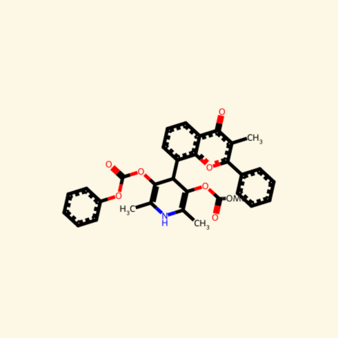 COC(=O)OC1=C(C)NC(C)=C(OC(=O)Oc2ccccc2)C1c1cccc2c(=O)c(C)c(-c3ccccc3)oc12